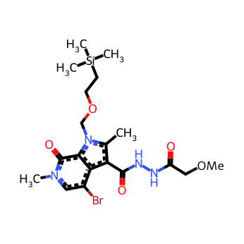 COCC(=O)NNC(=O)c1c(C)n(COCC[Si](C)(C)C)c2c(=O)n(C)cc(Br)c12